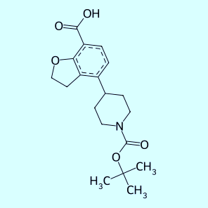 CC(C)(C)OC(=O)N1CCC(c2ccc(C(=O)O)c3c2CCO3)CC1